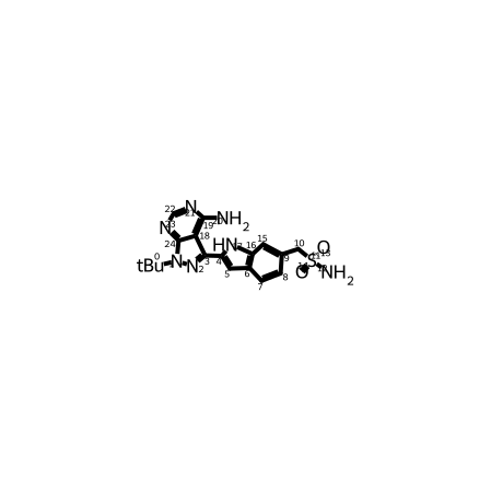 CC(C)(C)n1nc(-c2cc3ccc(CS(N)(=O)=O)cc3[nH]2)c2c(N)ncnc21